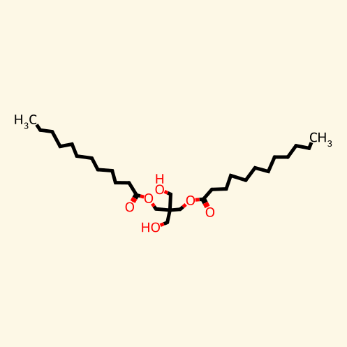 CCCCCCCCCCCC(=O)OCC(CO)(CO)COC(=O)CCCCCCCCCCC